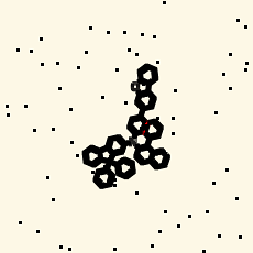 C1=CC2Oc3cc(-c4ccc(N(c5ccc6c(c5)C(c5ccccc5)(c5ccccc5)c5ccccc5-6)c5ccc6ccccc6c5-c5ccccc5)cc4)ccc3C2C=C1